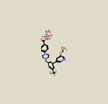 CCOc1cncc(-c2cc(CN3CCN(c4ccc(C(=O)NS(C)(=O)=O)cc4)CC3)cc(C(F)(F)F)c2)c1